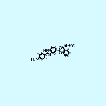 CCCCCC(OC(=O)c1ccc2[nH]c(-c3ccc(N)cc3)nc2c1)c1ccccc1